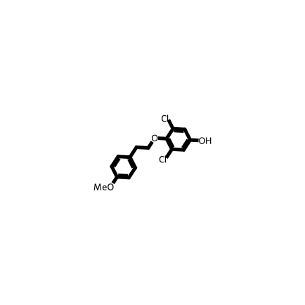 COc1ccc(CCOc2c(Cl)cc(O)cc2Cl)cc1